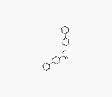 O=C(CCc1ccc(-c2ccccc2)cc1)c1ccc(-c2ccccc2)cc1